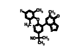 Cc1cc(F)cc(C)c1Oc1ncc(C(C)(C)C#N)cc1-c1cn(C)c(=O)c2ccsc12